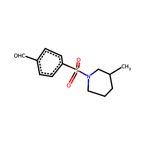 CC1CCCN(S(=O)(=O)c2ccc(C=O)cc2)C1